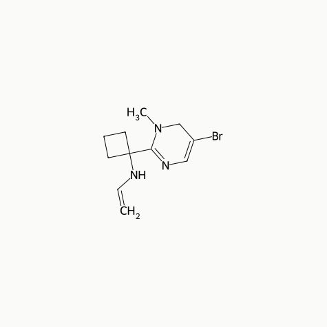 C=CNC1(C2=NC=C(Br)CN2C)CCC1